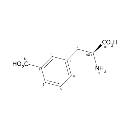 N[C@@H](Cc1cccc(C(=O)O)c1)C(=O)O